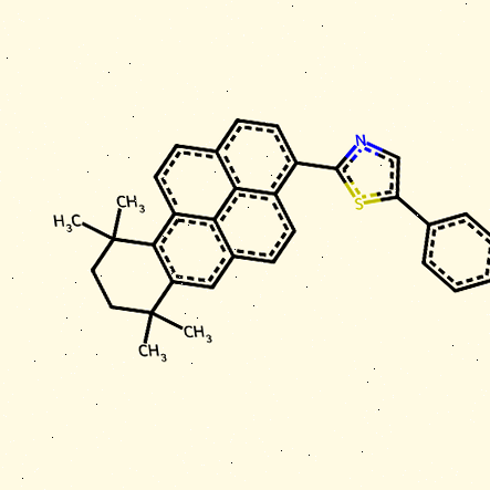 CC1(C)CCC(C)(C)c2c1cc1ccc3c(-c4ncc(-c5ccccc5)s4)ccc4ccc2c1c43